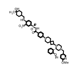 COc1ccc(CN2CCN(C3CC4(CCN(c5ccc(C(=O)NS(=O)(=O)c6ccc(NCC7CCC(C)(O)CC7)c([N+](=O)[O-])c6)cc5)CC4)C3)[C@@H](c3ccccc3OC(C)C)C2)cn1